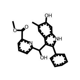 COC(=O)c1cccc(C(O)c2c(-c3ccccc3)[nH]c3cc(O)c(C)cc23)n1